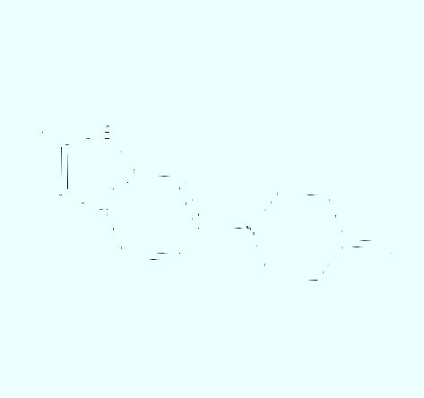 Cc1cc2ccc(N3CCC(=O)CC3)cc2s1